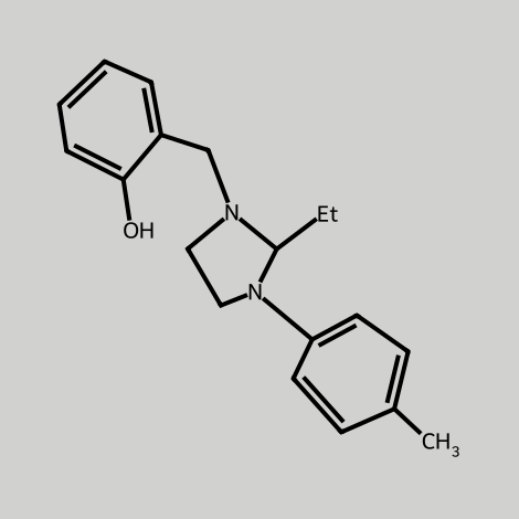 CCC1N(Cc2ccccc2O)CCN1c1ccc(C)cc1